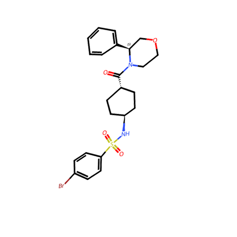 O=C([C@H]1CC[C@H](NS(=O)(=O)c2ccc(Br)cc2)CC1)N1CCOC[C@@H]1c1ccccc1